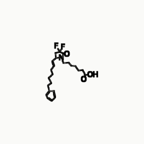 O=C(O)CCCCCCN1C(=O)C(F)(F)CC1/C=C/CCCCCc1ccccc1